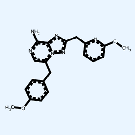 COc1ccc(Cc2cnc(N)c3nc(Cc4cccc(OC)n4)nn23)cc1